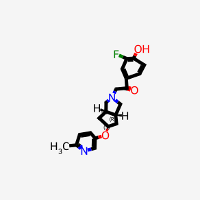 Cc1ccc(O[C@H]2C[C@@H]3CN(CC(=O)c4ccc(O)c(F)c4)C[C@@H]3C2)cn1